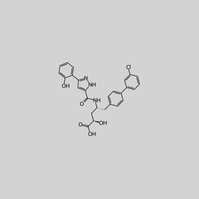 O=C(N[C@H](Cc1ccc(-c2cccc(Cl)c2)cc1)C[C@@H](O)C(=O)O)c1cc(-c2ccccc2O)n[nH]1